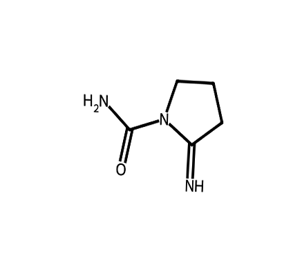 N=C1CCCN1C(N)=O